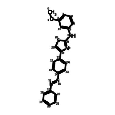 COc1cccc(Nc2nc(-c3ccc(N=Nc4ccccc4)cc3)cs2)c1